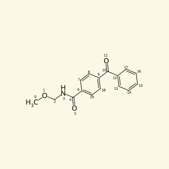 COCNC(=O)c1ccc(C(=O)c2ccccc2)cc1